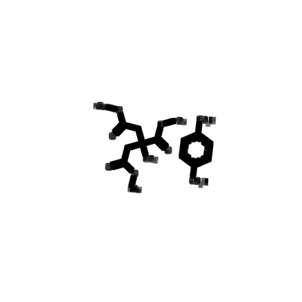 CCCCOC(=O)CC(CC(=O)OCCCC)(OC(C)=O)C(=O)OCCCC.O=C(O)c1ccc(C(=O)O)cc1